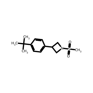 CC(C)(C)c1ccc(C2CN(S(C)(=O)=O)C2)cc1